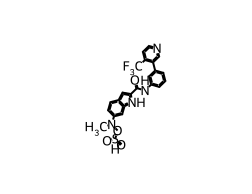 CN(O[SH](=O)=O)c1ccc2cc(C(=O)Nc3cccc(-c4cnccc4C(F)(F)F)c3)[nH]c2c1